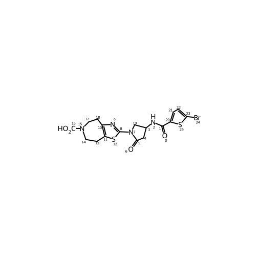 O=C(NC1CC(=O)N(c2nc3c(s2)CCN(C(=O)O)CC3)C1)c1ccc(Br)s1